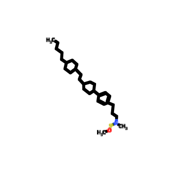 CCCCCC1CCC(CCC2CCC(c3ccc(CCCN(C)SOC)cc3)CC2)CC1